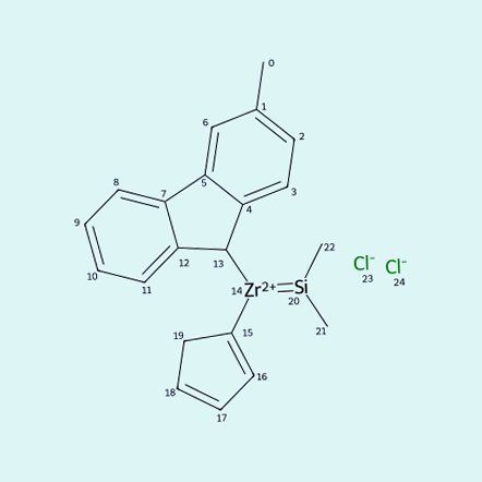 Cc1ccc2c(c1)-c1ccccc1[CH]2[Zr+2]([C]1=CC=CC1)=[Si](C)C.[Cl-].[Cl-]